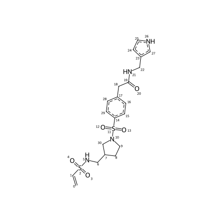 C=CS(=O)(=O)NCC1CCN(S(=O)(=O)c2ccc(CC(=O)NCc3cc[nH]c3)cc2)C1